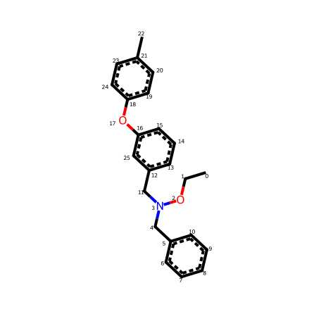 CCON(Cc1ccccc1)Cc1cccc(Oc2ccc(C)cc2)c1